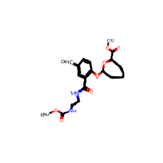 CC(=O)OOC(=O)C1CCCC(Oc2ccc(C=O)cc2C(=O)NCCNC(=O)OC(C)(C)C)O1